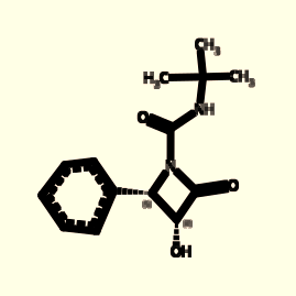 CC(C)(C)NC(=O)N1C(=O)[C@H](O)[C@@H]1c1ccccc1